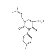 CC(C)=CCn1cc(C(=O)O)c(=O)n(-c2ccc(F)cc2)c1=O